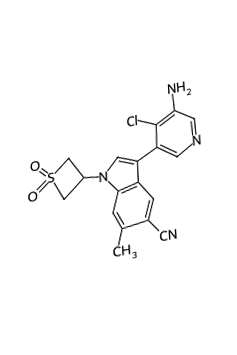 Cc1cc2c(cc1C#N)c(-c1cncc(N)c1Cl)cn2C1CS(=O)(=O)C1